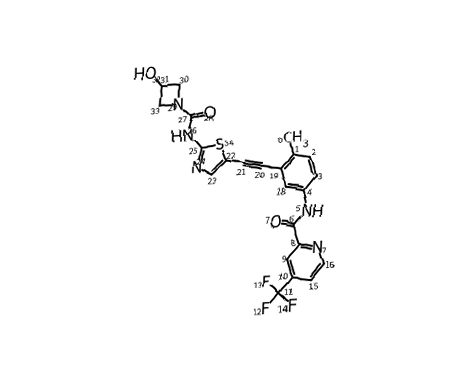 Cc1ccc(NC(=O)c2cc(C(F)(F)F)ccn2)cc1C#Cc1cnc(NC(=O)N2CC(O)C2)s1